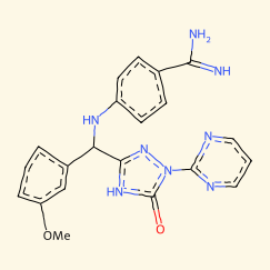 COc1cccc(C(Nc2ccc(C(=N)N)cc2)c2nn(-c3ncccn3)c(=O)[nH]2)c1